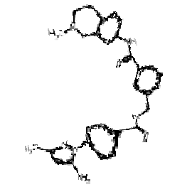 Cc1cc(N)n(-c2ccc(C(=O)NCc3cccc(C(=O)Nc4ccc5c(c4)CN(C)CC5)c3)cc2)n1